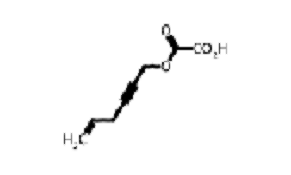 C=CCC#CCOC(=O)C(=O)O